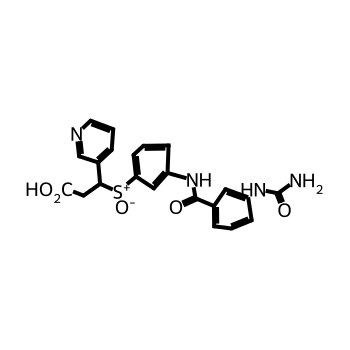 NC(=O)Nc1cccc(C(=O)Nc2cccc([S+]([O-])C(CC(=O)O)c3cccnc3)c2)c1